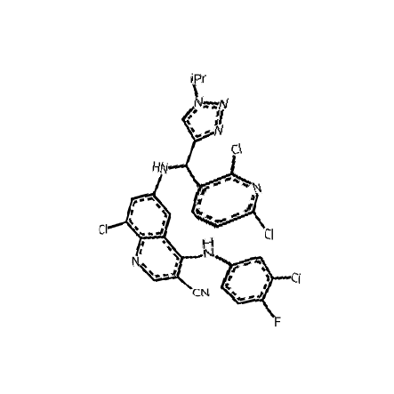 CC(C)n1cc(C(Nc2cc(Cl)c3ncc(C#N)c(Nc4ccc(F)c(Cl)c4)c3c2)c2ccc(Cl)nc2Cl)nn1